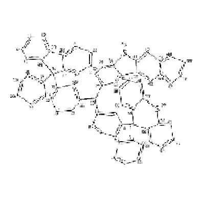 c1ccc(C2(c3cccc(C(c4cccc(C5(c6ccccc6)c6ccccc6-c6ccccc65)c4)c4ccc5sc6cc7ccccc7cc6c5c4)c3)c3ccccc3Sc3ccccc32)cc1